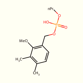 CCCOP(=O)(O)OCc1ccc(C)c(C)c1OC